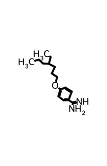 CCCC(CC)CCCOc1ccc(C(=N)N)cc1